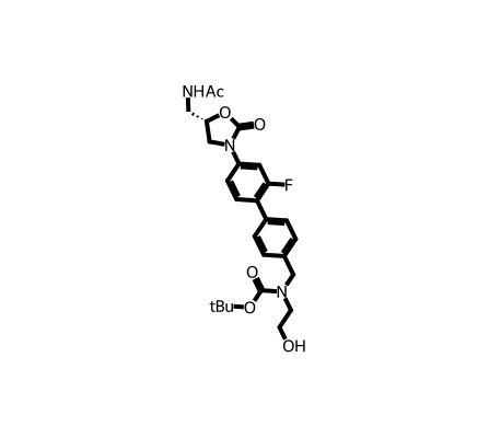 CC(=O)NC[C@H]1CN(c2ccc(-c3ccc(CN(CCO)C(=O)OC(C)(C)C)cc3)c(F)c2)C(=O)O1